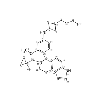 COc1cc(NC2CN(CCCF)C2)ccc1C1c2ccc3[nH]ncc3c2CCN1CC1(F)CC1